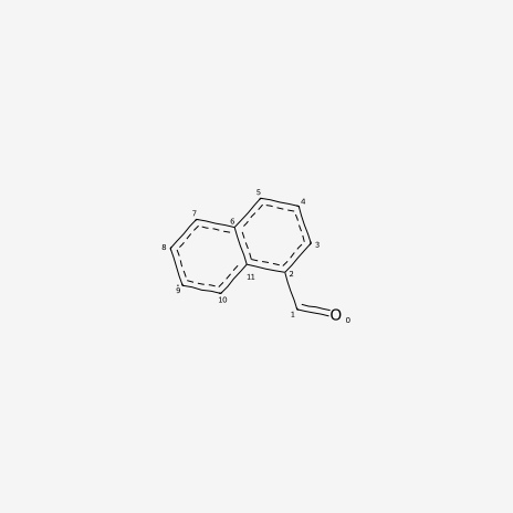 O=Cc1cccc2cc[c]cc12